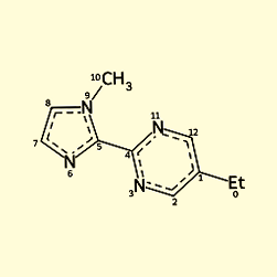 CCc1cnc(-c2nccn2C)nc1